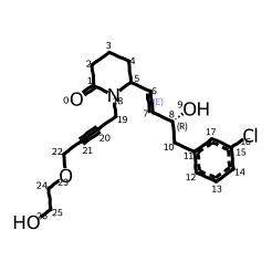 O=C1CCCC(/C=C/[C@H](O)Cc2cccc(Cl)c2)N1CC#CCOCCO